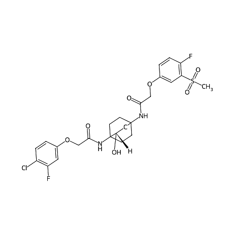 CS(=O)(=O)c1cc(OCC(=O)NC23CCC(NC(=O)COc4ccc(Cl)c(F)c4)(CC2)[C@@H](O)C3)ccc1F